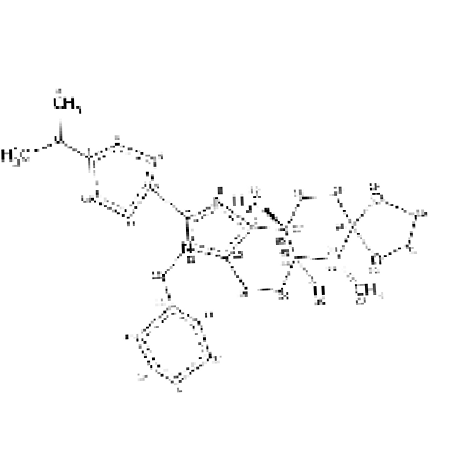 CC(C)c1ccc(-c2nc3c(n2Cc2ccccc2)CC[C@@H]2[C@@H](C)C4(CC[C@@]32C)OCCO4)cc1